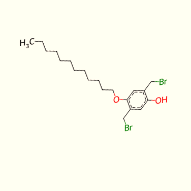 CCCCCCCCCCCCOc1cc(CBr)c(O)cc1CBr